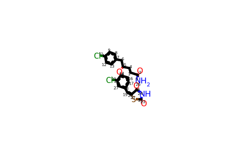 NC(=O)CCC(Cc1ccc(Cl)cc1)Oc1ccc(C=C2SC(=O)NC2=O)cc1Cl